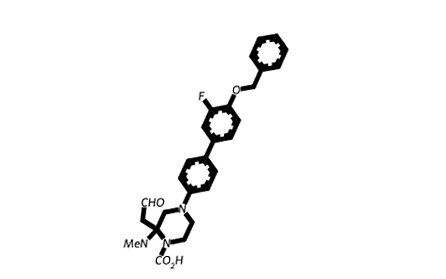 CNC1(CC=O)CN(c2ccc(-c3ccc(OCc4ccccc4)c(F)c3)cc2)CCN1C(=O)O